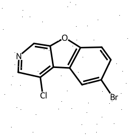 Clc1cncc2oc3ccc(Br)cc3c12